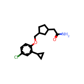 NC(=O)CC1CCC(COc2ccc(Cl)cc2C2CC2)C1